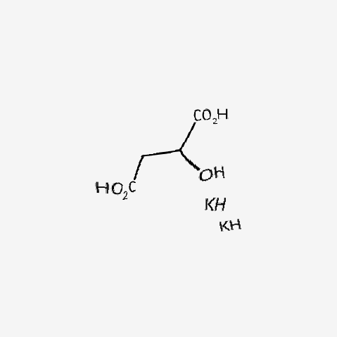 O=C(O)CC(O)C(=O)O.[KH].[KH]